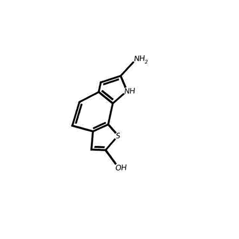 Nc1cc2ccc3cc(O)sc3c2[nH]1